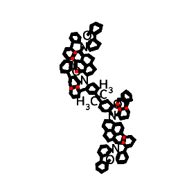 CC(C)(c1ccc(N(c2ccc3ccc4c(N(c5ccccc5-c5ccccc5)c5cccc6c5oc5ccccc56)ccc5ccc2c3c54)c2cccc3c2oc2ccccc23)c(-c2ccccc2)c1)c1ccc(N(c2ccc3ccc4c(N(c5ccccc5-c5ccccc5)c5cccc6c5oc5ccccc56)ccc5ccc2c3c54)c2cccc3c2oc2ccccc23)c(-c2ccccc2)c1